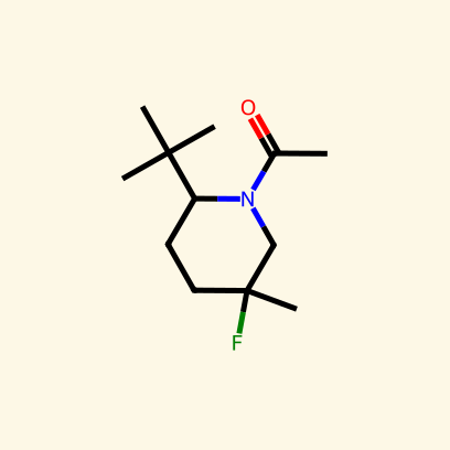 CC(=O)N1CC(C)(F)CCC1C(C)(C)C